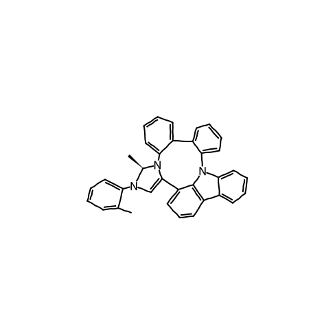 Cc1ccccc1N1C=c2c3cccc4c5ccccc5n(c5ccccc5c5ccccc5n2[C@@H]1C)c34